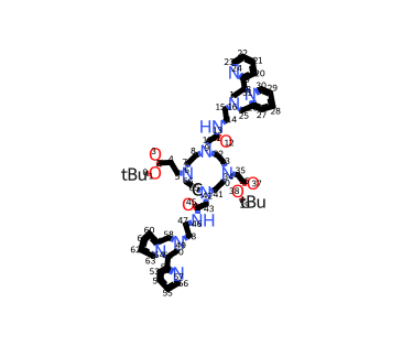 CC(C)(C)OC(=O)CCN1CCN(CC(=O)NCCN(CCc2ccccn2)Cc2ccccn2)CCN(CC(=O)OC(C)(C)C)CCN(CC(=O)NCCN(CCc2ccccn2)Cc2ccccn2)CC1